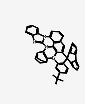 CC(C)(C)c1ccc2c(c1)B1C3=C(C4CCC3CC4)n3c4c1c(cc1cccc(c14)n1c4ccccc4nc31)C21c2ccccc2-c2ccccc21